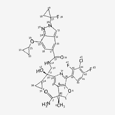 C[C@]1(C(N)=O)COc2c1cc([C@@](O)(CNC(=O)c1cc(OC3CC3)c3nn(C4(F)CC4)cc3c1)C1CC1)nc2-c1ccc(F)c(Cl)c1F